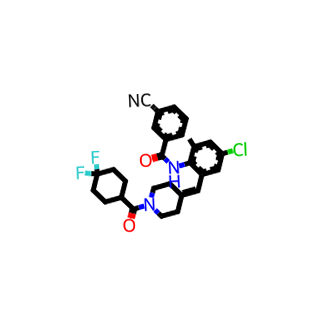 Cc1cc(Cl)cc(C=C2CCN(C(=O)C3CCC(F)(F)CC3)CC2)c1NC(=O)c1cccc(C#N)c1